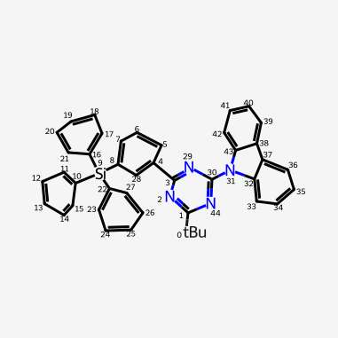 CC(C)(C)c1nc(-c2cccc([Si](c3ccccc3)(c3ccccc3)c3ccccc3)c2)nc(-n2c3ccccc3c3ccccc32)n1